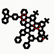 CC(C)(C)c1cc(-c2ccccc2)c(N2c3cc(N(c4ccccc4)c4ccc(-n5c6ccccc6c6ccccc65)cc4)ccc3B3c4ccc(-c5ccccc5)cc4N(c4cc(-c5ccccc5)cc(-c5ccccc5)c4)c4cc(-n5c6ccc(C(C)(C)C)cc6c6cc(C(C)(C)C)ccc65)cc2c43)c(-c2ccccc2)c1